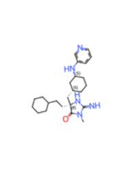 CN1C(=N)N[C@](CCC2CCCCC2)(C[C@H]2CCC[C@H](Nc3cccnc3)C2)C1=O